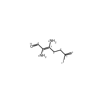 C=C(I)CC/C(N)=C(\N)C=O